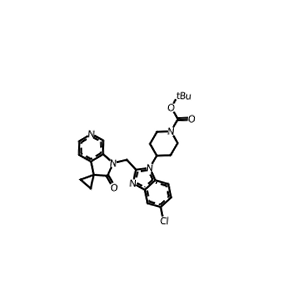 CC(C)(C)OC(=O)N1CCC(n2c(CN3C(=O)C4(CC4)c4ccncc43)nc3cc(Cl)ccc32)CC1